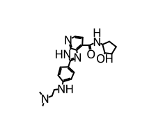 CN(C)CCNc1ccc(-c2nc3c(C(=O)NC4CCCC4O)ccnc3[nH]2)cc1